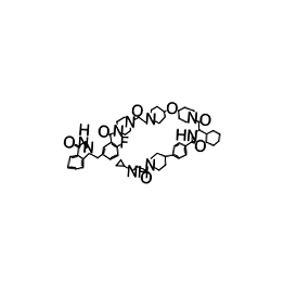 O=C(N[C@@H](C(=O)N1CCC(OC2CCN(CC(=O)N3CCN(C(=O)c4cc(Cc5n[nH]c(=O)c6ccccc56)ccc4F)CC3)CC2)CC1)C1CCCCC1)c1ccc(C2CCN(C(=O)CNC3CC3)CC2)cc1